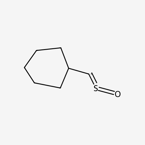 O=S=[C]C1CCCCC1